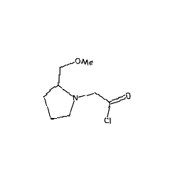 COCC1CCCN1CC(=O)Cl